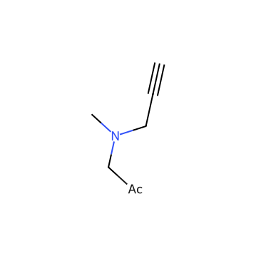 C#CCN(C)CC(C)=O